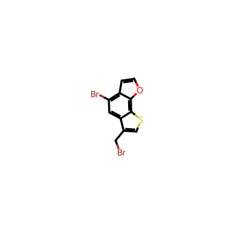 BrCc1csc2c1cc(Br)c1ccoc12